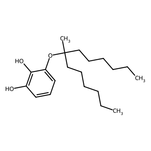 CCCCCCC(C)(CCCCCC)Oc1cccc(O)c1O